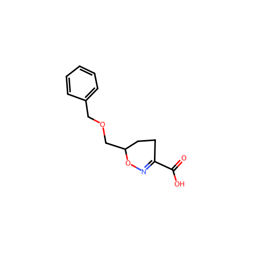 O=C(O)C1=NOC(COCc2ccccc2)CC1